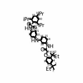 CCC(C)(C)c1ccc(OCC(=O)Nc2cccc(Nc3ccc(NS(=O)(=O)c4c(C(C)C)cc(C(C)C)cc4C(C)C)cc3)c2)c(C(C)(C)CC)c1